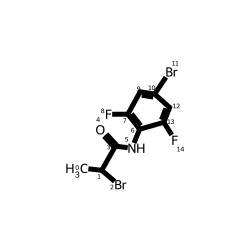 CC(Br)C(=O)Nc1c(F)cc(Br)cc1F